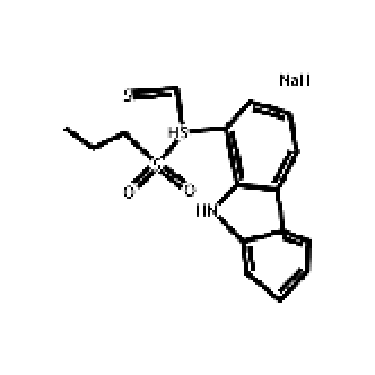 CCCS(=O)(=O)[SH](C=S)c1cccc2c1[nH]c1ccccc12.[NaH]